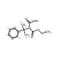 CCOC(=O)C(C(=O)O)C(C)(C)c1ccccc1